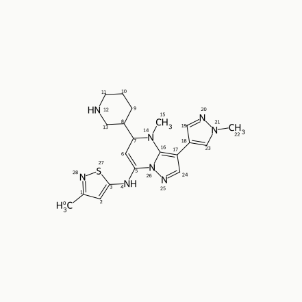 Cc1cc(NC2=CC(C3CCCNC3)N(C)c3c(-c4cnn(C)c4)cnn32)sn1